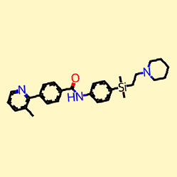 Cc1cccnc1-c1ccc(C(=O)Nc2ccc([Si](C)(C)CCN3CCCCC3)cc2)cc1